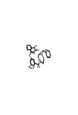 O=C(c1cc(Cc2n[nH]c(=O)c3ccccc23)cc2c1OCC2)N1CCN(Cc2ccccn2)CC1